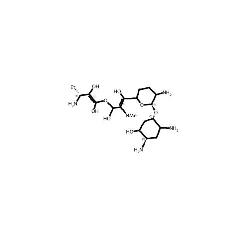 CC[C@@H](N)/C(O)=C(\O)OC(O)/C(NC)=C(\O)C1CCC(N)[C@@H](O[C@H]2CC(O)[C@H](N)CC2N)O1